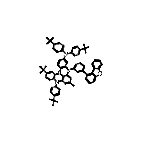 Cc1cc2c3c(c1)N(c1cccc(-c4cccc5oc6ccccc6c45)c1)c1cc(N(c4ccc(C(C)(C)C)cc4)c4ccc(C(C)(C)C)cc4)ccc1B3c1cc(C(C)(C)C)ccc1N2c1ccc(C(C)(C)C)cc1